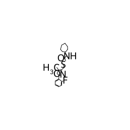 Cc1oc(-c2ccccc2F)nc1CSCC(=O)NC1CCCCCC1